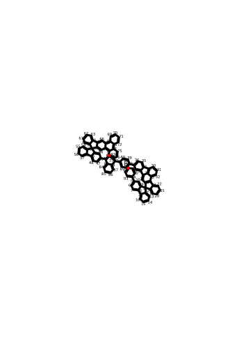 Fc1ccc(-c2ccc3c(c2)C2(c4ccccc4-3)c3ccccc3-c3c2cc2c4c(cccc34)-c3ccc(-c4ccc(-c5ccc(-c6ccc7c(c6)C6(c8ccccc8-7)c7ccccc7-c7cc8c9ccccc9c9ccccc9c8cc76)c6ccccc56)cc4)cc3-2)cc1